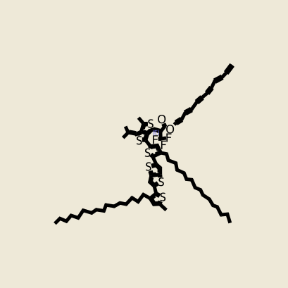 C#CC#CC#CC#CC#CC#COC(=O)/C(=c1\sc(C)c2c(=C(C)C)sc(-c3cc(CCCCCCCCCCCCCCCC)c(-c4cc5sc(-c6sc(C)cc6CCCCCCCCCCCCCCCC)cc5s4)s3)c12)C(F)(F)F